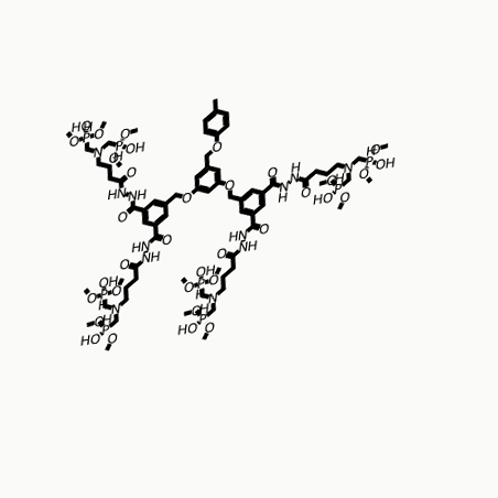 CO[PH](O)(CN(CCCC(=O)NNC(=O)c1cc(COc2cc(COc3ccc(C)cc3)cc(OCc3cc(C(=O)NNC(=O)CCCN(C[PH](O)(OC)OC)C[PH](O)(OC)OC)cc(C(=O)NNC(=O)CCCN(C[PH](O)(OC)OC)C[PH](O)(OC)OC)c3)c2)cc(C(=O)NNC(=O)CCCN(C[PH](O)(OC)OC)C[PH](O)(OC)OC)c1)C[PH](O)(OC)OC)OC